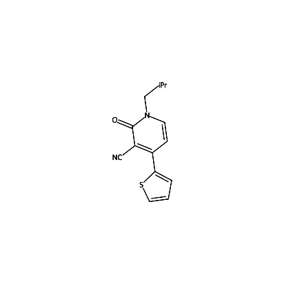 CC(C)Cn1ccc(-c2cccs2)c(C#N)c1=O